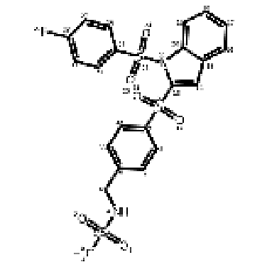 CS(=O)(=O)NCc1ccc(S(=O)(=O)c2cc3ccccc3n2S(=O)(=O)c2ccc(F)cc2)cc1